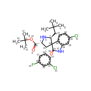 CC(C)(C)C[C@@H]1N[C@@H](C(=O)OC(C)(C)C)[C@@H](c2cc(F)cc(Cl)c2)C12C(=O)Nc1cc(Cl)ccc12